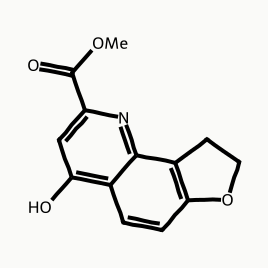 COC(=O)c1cc(O)c2ccc3c(c2n1)CCO3